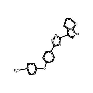 FC(F)(F)c1ccc(Oc2ccc(-c3noc(-c4c[nH]c5ncccc45)n3)cc2)cc1